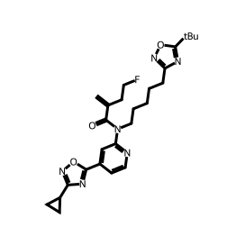 C=C(CCF)C(=O)N(CCCCCc1noc(C(C)(C)C)n1)c1cc(-c2nc(C3CC3)no2)ccn1